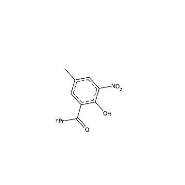 CCCC(=O)c1cc(C)cc([N+](=O)[O-])c1O